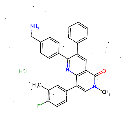 Cc1cc(-c2cn(C)c(=O)c3cc(-c4ccccc4)c(-c4ccc(CN)cc4)nc23)ccc1F.Cl